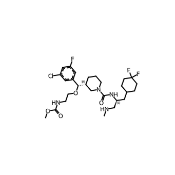 CNC[C@H](CC1CCC(F)(F)CC1)NC(=O)N1CCC[C@@H](C(OCCNC(=O)OC)c2cc(F)cc(Cl)c2)C1